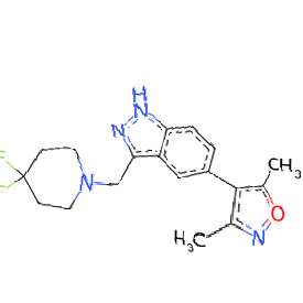 Cc1noc(C)c1-c1ccc2[nH]nc(CN3CCC(F)(F)CC3)c2c1